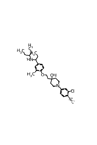 [C-]#[N+]c1ccc(N2CCC(O)(CCOc3ccc(C(CC)NC(CC)CC)cc3C)CC2)cc1Cl